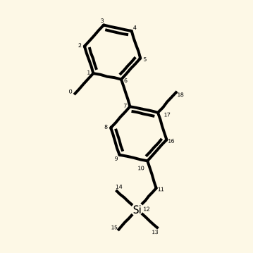 Cc1ccccc1-c1ccc(C[Si](C)(C)C)cc1C